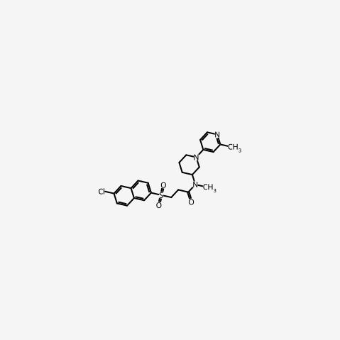 Cc1cc(N2CCCC(N(C)C(=O)CCS(=O)(=O)c3ccc4cc(Cl)ccc4c3)C2)ccn1